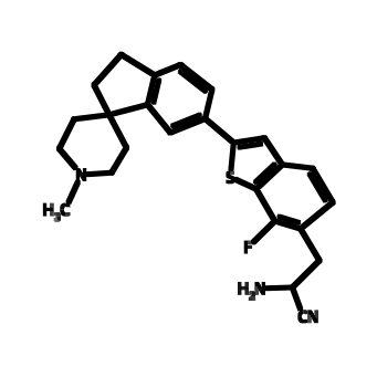 CN1CCC2(CCc3ccc(-c4cc5ccc(CC(N)C#N)c(F)c5s4)cc32)CC1